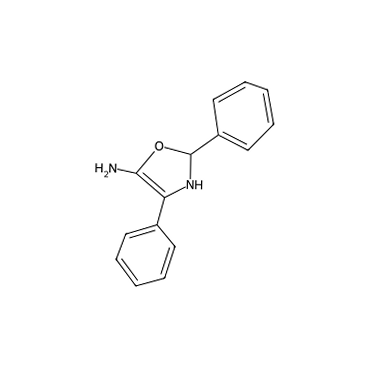 NC1=C(c2ccccc2)NC(c2ccccc2)O1